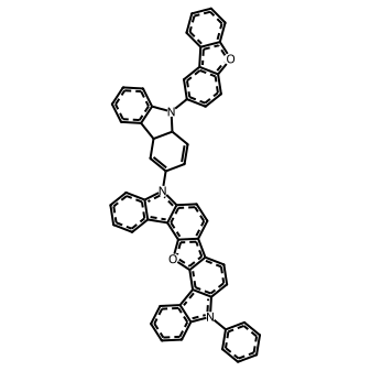 C1=CC2C(C=C1n1c3ccccc3c3c4oc5c(ccc6c5c5ccccc5n6-c5ccccc5)c4ccc31)c1ccccc1N2c1ccc2oc3ccccc3c2c1